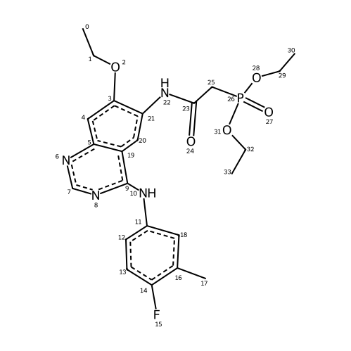 CCOc1cc2ncnc(Nc3ccc(F)c(C)c3)c2cc1NC(=O)CP(=O)(OCC)OCC